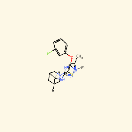 Cc1cc(N2CC3C[C@@H](C2)[C@@H]3Nc2nc(Oc3cccc(F)c3)n(C(C)C)n2)sn1